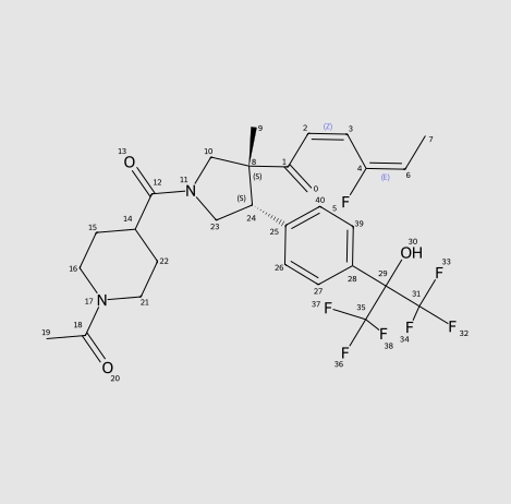 C=C(/C=C\C(F)=C/C)[C@@]1(C)CN(C(=O)C2CCN(C(C)=O)CC2)C[C@H]1c1ccc(C(O)(C(F)(F)F)C(F)(F)F)cc1